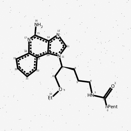 CCCCCC(=O)NCCC[C@@H](COCC)n1cnc2c(N)nc3ccccc3c21